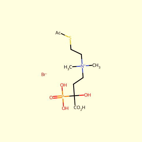 CC(=O)SCC[N+](C)(C)CCC(O)(C(=O)O)P(=O)(O)O.[Br-]